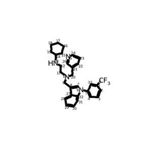 FC(F)(F)c1cccc(-n2cc(CN(CCNC3CCCCC3)Cc3cccnc3)c3ccccc32)c1